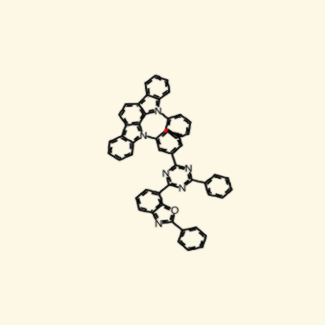 c1ccc(-c2nc(-c3cccc(-n4c5ccccc5c5ccc6c7ccccc7n(-c7ccccc7)c6c54)c3)nc(-c3cccc4nc(-c5ccccc5)oc34)n2)cc1